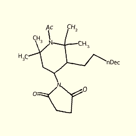 CCCCCCCCCCCCC1C(N2C(=O)CCC2=O)CC(C)(C)N(C(C)=O)C1(C)C